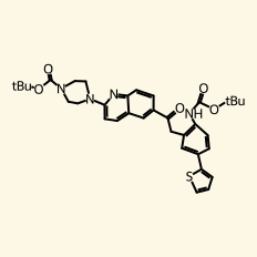 CC(C)(C)OC(=O)Nc1ccc(-c2cccs2)cc1CC(=O)c1ccc2nc(N3CCN(C(=O)OC(C)(C)C)CC3)ccc2c1